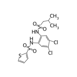 CC(C)CS(=O)(=O)Nc1cc(Cl)c(Cl)cc1NS(=O)(=O)c1cccs1